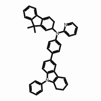 CC1(C)C2=CC(N(c3ccc(-c4ccc5c(c4)c4c(n5-c5ccccc5)CCC=C4)cc3)c3ccccn3)CC=C2c2ccccc21